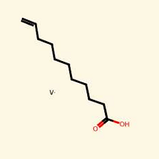 C=CCCCCCCCCC(=O)O.[V]